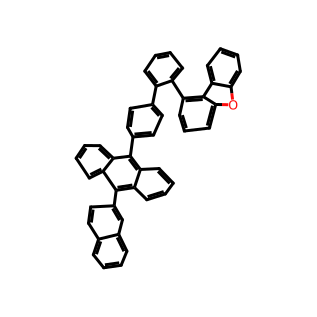 c1ccc(-c2cccc3oc4ccccc4c23)c(-c2ccc(-c3c4ccccc4c(-c4ccc5ccccc5c4)c4ccccc34)cc2)c1